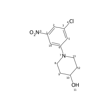 O=[N+]([O-])c1cc(Cl)cc(N2CCC(O)CC2)c1